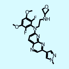 COc1cc(OC)c(F)c(N(CCNC2COC2)c2ccc3ncc(-c4cnn(C)c4)nc3n2)c1F